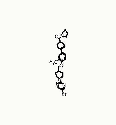 CCc1cnc(N2CCC(COc3ccc(C4=CCC(C(=O)N5CCCC5)CC4)cc3C(F)(F)F)CC2)nc1